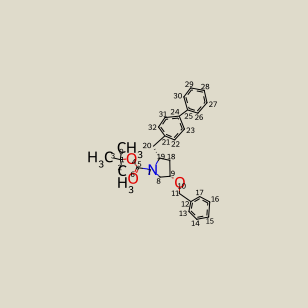 CC(C)(C)OC(=O)N1C[C@@H](OCc2ccccc2)C[C@H]1Cc1ccc(-c2ccccc2)cc1